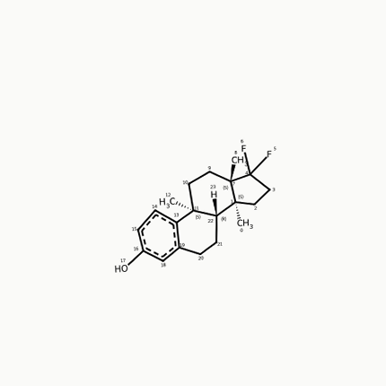 C[C@@]12CCC(F)(F)[C@@]1(C)CC[C@]1(C)c3ccc(O)cc3CC[C@@H]21